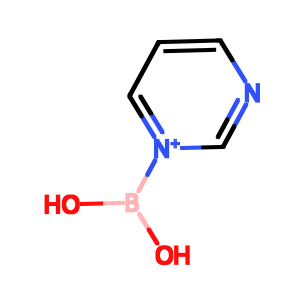 OB(O)[n+]1cccnc1